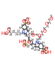 COCCOCCOCCOCC[N+]1=C(/C=C/C=C/C=C2/N(CCCCCC(=O)O)c3ccc(S(=O)(=O)[O-])cc3C2(C)CCOC)C(C)(CCCS(=O)(=O)O)c2cc(S(=O)(=O)O)ccc21